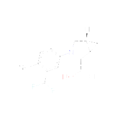 N#Cc1ccc(N2C[C@@H]3CC3[C@@H]2[C@@H](O)C(F)(F)F)cc1C(F)F